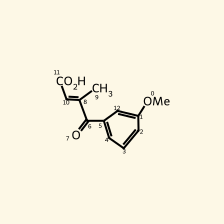 COc1cccc(C(=O)/C(C)=C/C(=O)O)c1